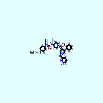 COc1ccc(NC(=O)NC2CCN(C(=O)[C@@H]3CN(Cc4ccccn4)C[C@H]3c3ccccc3)CC2)cc1